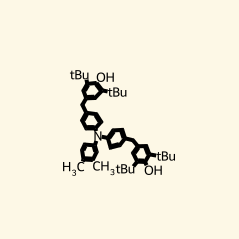 Cc1ccc(N(c2ccc(Cc3cc(C(C)(C)C)c(O)c(C(C)(C)C)c3)cc2)c2ccc(Cc3cc(C(C)(C)C)c(O)c(C(C)(C)C)c3)cc2)cc1C